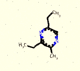 CCc1cnc(C)c(CC)n1